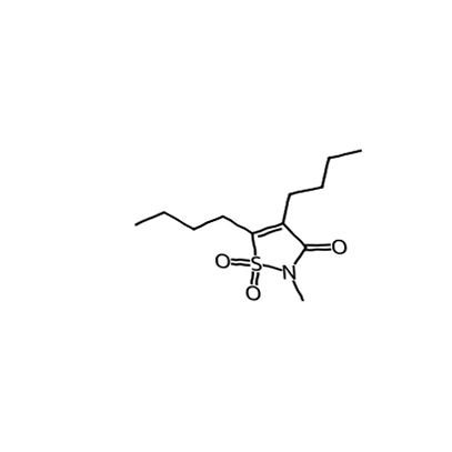 CCCCC1=C(CCCC)S(=O)(=O)N(C)C1=O